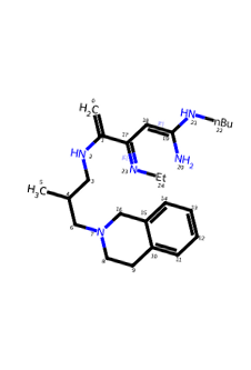 C=C(NCC(C)CN1CCc2ccccc2C1)C(/C=C(\N)NCCCC)=N/CC